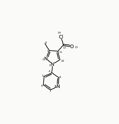 Cc1nn(-c2cccnc2)cc1C(=O)Cl